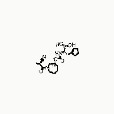 C=C(C#N)C(=O)N1CCCC[C@@H](OC(=O)N[C@@H](CC2=CCCC2)B(O)O)C1